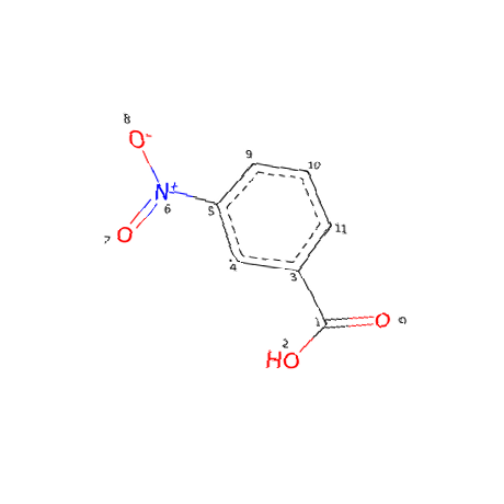 O=C(O)c1[c]c([N+](=O)[O-])ccc1